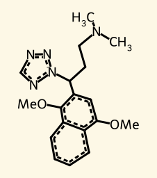 COc1cc(C(CCN(C)C)n2ncnn2)c(OC)c2ccccc12